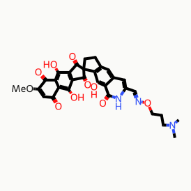 COC1=CC(=O)c2c(O)c3c(c(O)c2C1=O)C(=O)C1(CCc2cc4cc(/C=N/OCCCN(C)C)[nH]c(=O)c4c(O)c21)C3=O